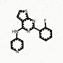 Fc1ccccc1-c1nc(Nc2ccncc2)c2ccsc2n1